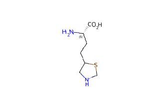 N[C@@H](CCC1CNCS1)C(=O)O